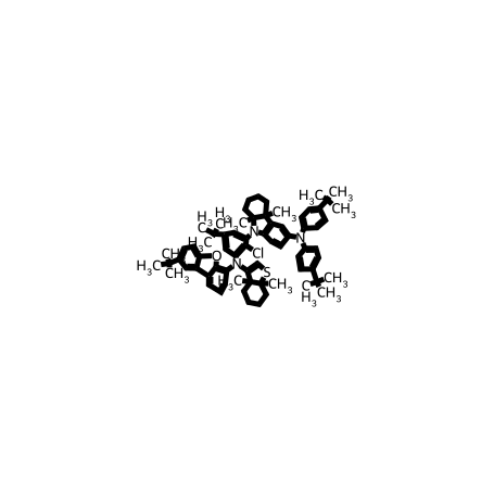 CC(C)(C)c1ccc(N(c2ccc(C(C)(C)C)cc2)c2ccc3c(c2)C2(C)CCCCC2(C)N3c2cc(C(C)(C)C)cc(N(C3=CSC4(C)CCCCC34C)c3cccc4c3oc3ccc(C(C)(C)C)cc34)c2Cl)cc1